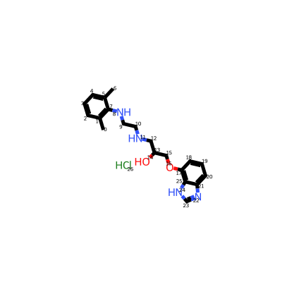 Cc1cccc(C)c1NCCNCC(O)COc1cccc2nc[nH]c12.Cl